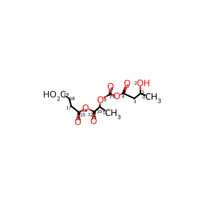 CC(O)CC(=O)OC(=O)OC(C)C(=O)OC(=O)CCC(=O)O